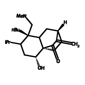 C=C1C(=O)[C@]23CC[C@H]1CC2[C@@](CCCC)(CNC)C(C(C)C)C[C@H]3O